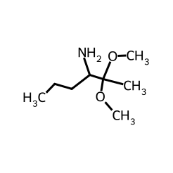 CCCC(N)C(C)(OC)OC